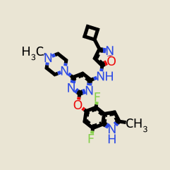 Cc1cc2c(F)c(Oc3nc(Nc4cc(C5CCC5)no4)cc(N4CCN(C)CC4)n3)cc(F)c2[nH]1